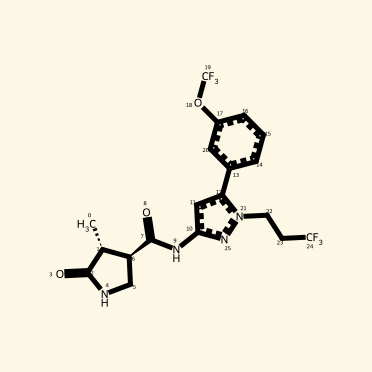 C[C@H]1C(=O)NC[C@@H]1C(=O)Nc1cc(-c2cccc(OC(F)(F)F)c2)n(CCC(F)(F)F)n1